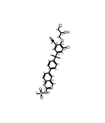 CC(C)(c1ccc(-c2ccc3nc(NS(C)(=O)=O)ncc3c2)cc1)c1cc(Cl)c(OCC(O)CCl)c(C#N)c1